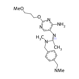 CNCc1ccc(CN(C)/C(C)=N\c2cnc(OCCCOC)nc2N)cc1